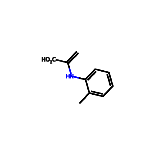 C=C(Nc1ccccc1C)C(=O)O